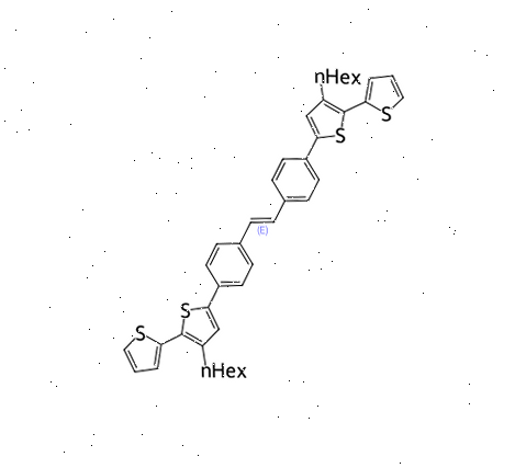 CCCCCCc1cc(-c2ccc(/C=C/c3ccc(-c4cc(CCCCCC)c(-c5cccs5)s4)cc3)cc2)sc1-c1cccs1